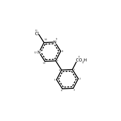 O=C(O)c1ccccc1-c1cnc(Cl)nc1